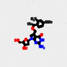 COc1ccc(C(OCc2cn([C@H]3C[C@@H](O)[C@@H](CO)O3)c3nc(N)[nH]c(=O)c23)C(C)(C)C)c([N+](=O)[O-])c1